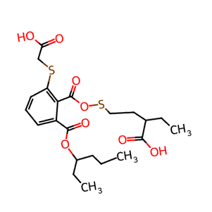 CCCC(CC)OC(=O)c1cccc(SCC(=O)O)c1C(=O)OSCCC(CC)C(=O)O